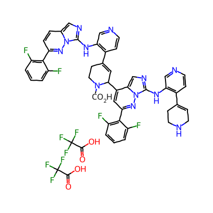 O=C(O)C(F)(F)F.O=C(O)C(F)(F)F.O=C(O)N1CCC(c2ccncc2Nc2ncc3ccc(-c4c(F)cccc4F)nn23)=CC1c1cc(-c2c(F)cccc2F)nn2c(Nc3cnccc3C3=CCNCC3)ncc12